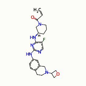 C=CC(=O)N1CCC[C@@H](Nc2nc(Nc3ccc4c(c3)CN(C3COC3)CC4)ncc2F)C1